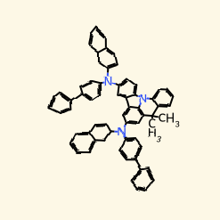 CC1(C)c2ccccc2-n2c3ccc(N(C4=CC=C5C=CC=CC5C4)c4ccc(-c5ccccc5)cc4)cc3c3cc(N(c4ccc(-c5ccccc5)cc4)C4C=Cc5ccccc5C4)cc1c32